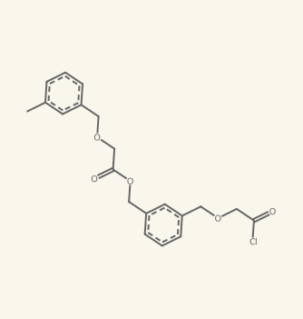 Cc1cccc(COCC(=O)OCc2cccc(COCC(=O)Cl)c2)c1